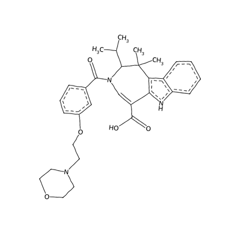 CC(C)C1N(C(=O)c2cccc(OCCN3CCOCC3)c2)C=C(C(=O)O)c2[nH]c3ccccc3c2C1(C)C